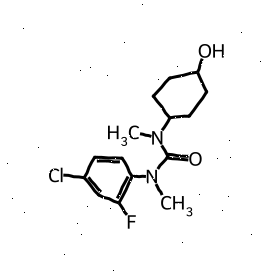 CN(C(=O)N(C)C1CCC(O)CC1)c1ccc(Cl)cc1F